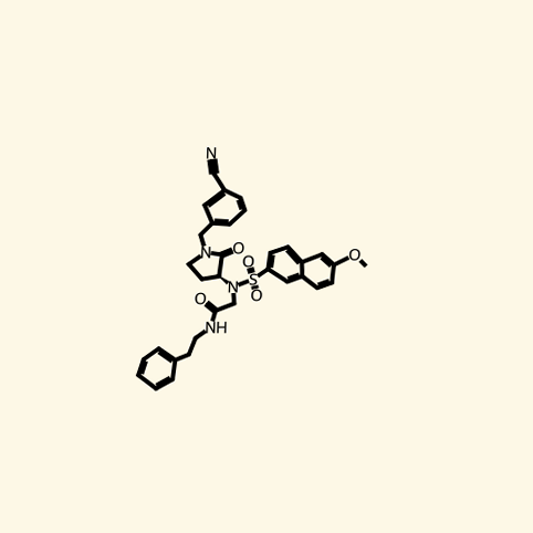 COc1ccc2cc(S(=O)(=O)N(CC(=O)NCCc3ccccc3)[C@H]3CCN(Cc4cccc(C#N)c4)C3=O)ccc2c1